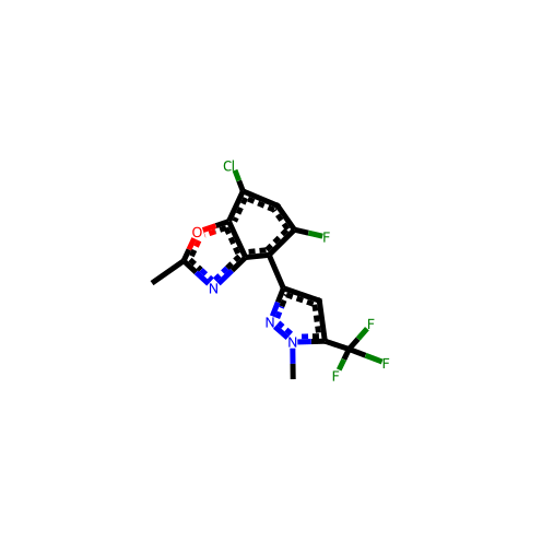 Cc1nc2c(-c3cc(C(F)(F)F)n(C)n3)c(F)cc(Cl)c2o1